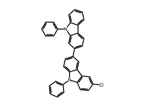 Clc1ccc2c(c1)c1cc(-c3ccc4c5ccccc5n(-c5ccccc5)c4c3)ccc1n2-c1ccccc1